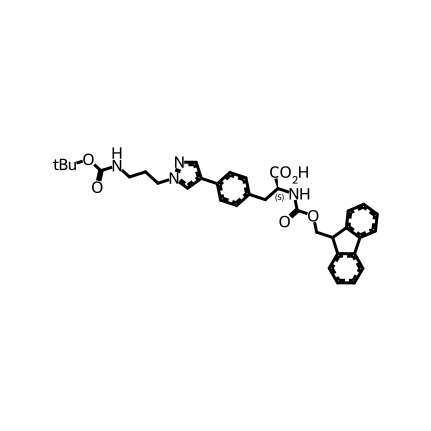 CC(C)(C)OC(=O)NCCCn1cc(-c2ccc(C[C@H](NC(=O)OCC3c4ccccc4-c4ccccc43)C(=O)O)cc2)cn1